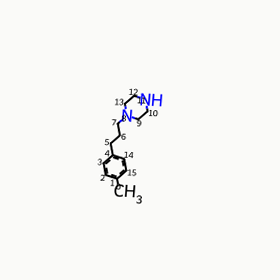 Cc1ccc(CCCN2CCNCC2)cc1